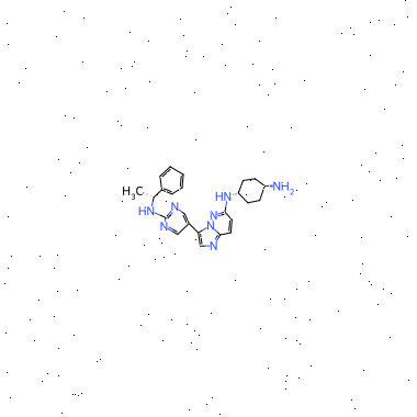 C[C@@H](Nc1ncc(-c2cnc3ccc(N[C@H]4CC[C@H](N)CC4)nn23)cn1)c1ccccc1